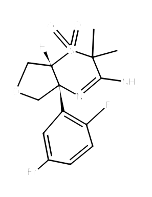 CC1(C)C(N)=N[C@]2(c3cc(Br)ccc3F)COC[C@@H]2S1(=O)=O